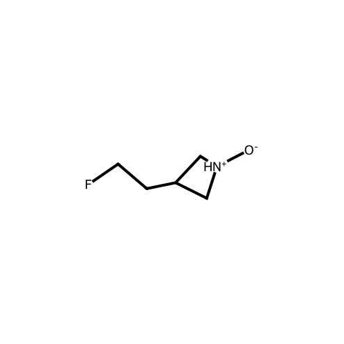 [O-][NH+]1CC(CCF)C1